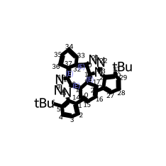 Cc1cccc(C(C)(C)C)c1-n1nnc2/c1=c1/cccc/c1=c1/c(nnn1-c1c(C)cccc1C(C)(C)C)=c1/cccc/c1=2